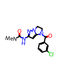 CNC(=O)Nc1cc2n(n1)CCN2C(=O)c1cccc(Cl)c1